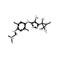 CCC1(c2nsc(Oc3cc(C)c(N=CN(C)C)cc3C)c2C#N)C(C)C1(Cl)Cl